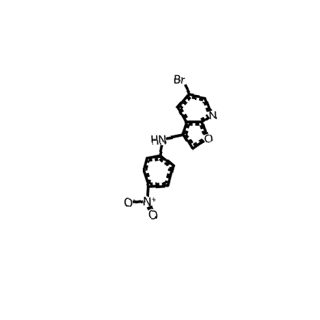 O=[N+]([O-])c1ccc(Nc2coc3ncc(Br)cc23)cc1